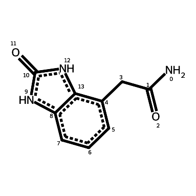 NC(=O)Cc1cccc2[nH]c(=O)[nH]c12